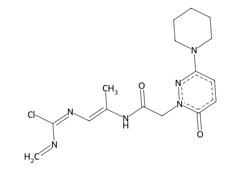 C=N/C(Cl)=N\C=C(/C)NC(=O)Cn1nc(N2CCCCC2)ccc1=O